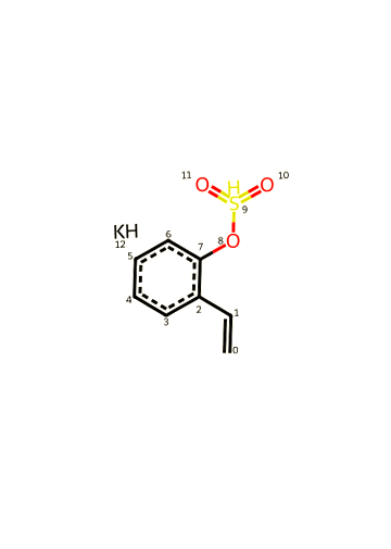 C=Cc1ccccc1O[SH](=O)=O.[KH]